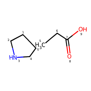 C1CCNC1.CCC(=O)O